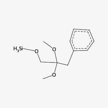 COC(CO[SiH3])(Cc1ccccc1)OC